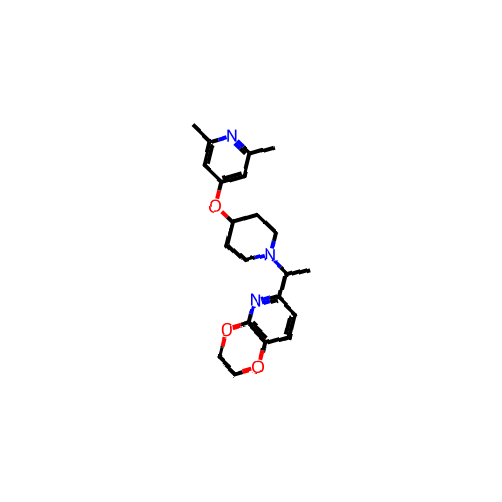 Cc1cc(OC2CCN(C(C)c3ccc4c(n3)OCCO4)CC2)cc(C)n1